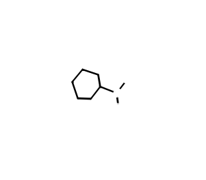 CC[S+]([O-])C1CCCCC1